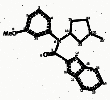 COc1cccc(N(C(=O)c2cc3ccccc3s2)C2CCN(C)C2)c1